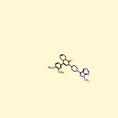 COc1ccc(C2=CC(C3CCN(c4nn(C)c5ncncc45)CC3)C(=O)C3CC=CCC23)cc1OC